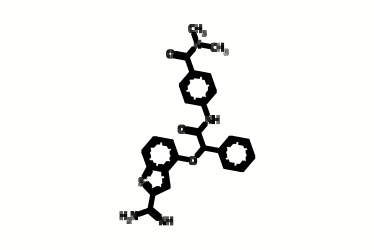 CN(C)C(=O)c1ccc(NC(=O)C(Oc2cccc3sc(C(=N)N)cc23)c2ccccc2)cc1